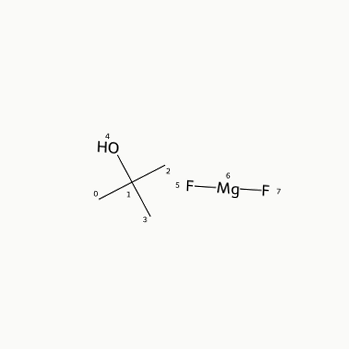 CC(C)(C)O.[F][Mg][F]